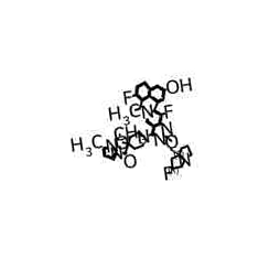 CCc1c(F)ccc2cc(O)cc(-c3ncc4c(N5CCC(OC)(C(=O)n6ccc(C)n6)CC5)nc(OC[C@@]56CCCN5C[C@H](F)C6)nc4c3F)c12